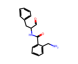 NCc1ccccc1C(=O)NC(C=O)Cc1ccccc1